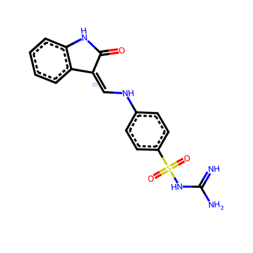 N=C(N)NS(=O)(=O)c1ccc(N/C=C2\C(=O)Nc3ccccc32)cc1